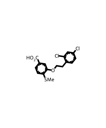 CSc1ccc(C(=O)O)cc1OCCc1ccc(Cl)cc1Cl